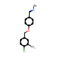 CCC(C)/N=C/c1ccc(OCc2ccc(Cl)c(C(F)(F)F)c2)cc1